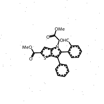 COC(=O)Cn1c(-c2ccccc2C=O)c(-c2ccccc2)c2sc(C(=O)OC)cc21